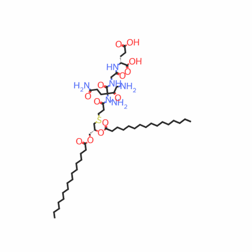 CCCCCCCCCCCCCCCC(=O)OC[C@H](CSCCC(=O)N(N)C(CCC(N)=O)(C(=O)CN)C(=O)NCC(=O)N[C@H](CCC(=O)O)C(=O)O)OC(=O)CCCCCCCCCCCCCCC